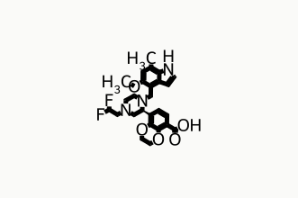 COc1cc(C)c2[nH]ccc2c1CN1CCN(CC(F)F)C[C@@H]1c1ccc(C(=O)O)c2c1OCCO2